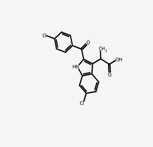 CC(C(=O)O)c1c(C(=O)c2ccc(Cl)cc2)[nH]c2cc(Cl)ccc12